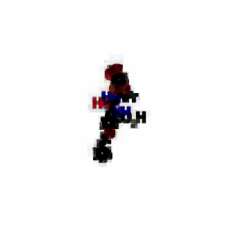 CC(C)C(NC[C@@H](O)[C@H](Cc1ccc(OCCCc2ccccc2)cc1)NC(=O)O)S(=O)(=O)c1ccc2c(c1)OCO2